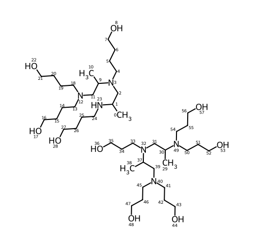 CC(CN(CCCCO)C(C)CN(CCCCO)CCCCO)NCCCCO.CC(CN(CCCO)C(C)CN(CCCO)CCCO)N(CCCO)CCCO